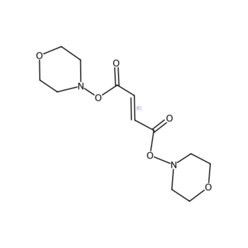 O=C(/C=C/C(=O)ON1CCOCC1)ON1CCOCC1